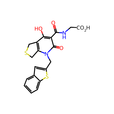 O=C(O)CNC(=O)c1c(O)c2c(n(Cc3cc4ccccc4s3)c1=O)CSC2